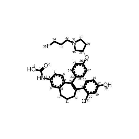 O=C(O)Nc1ccc2c(c1)CCCC(c1ccc(O)cc1Cl)=C2c1ccc(O[C@H]2CCN(CCCF)C2)cc1